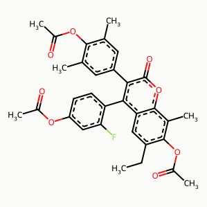 CCc1cc2c(-c3ccc(OC(C)=O)cc3F)c(-c3cc(C)c(OC(C)=O)c(C)c3)c(=O)oc2c(C)c1OC(C)=O